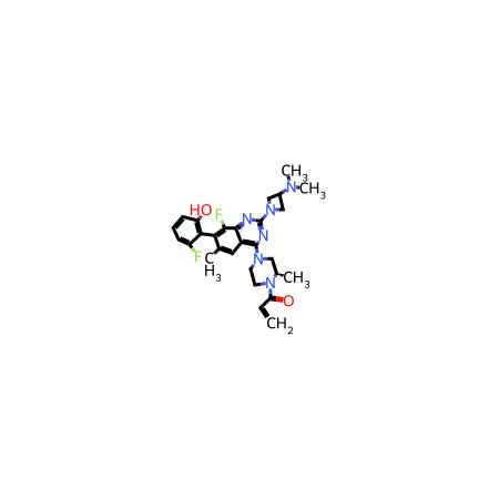 C=CC(=O)N1CCN(c2nc(N3CC(N(C)C)C3)nc3c(F)c(-c4c(O)cccc4F)c(C)cc23)C[C@H]1C